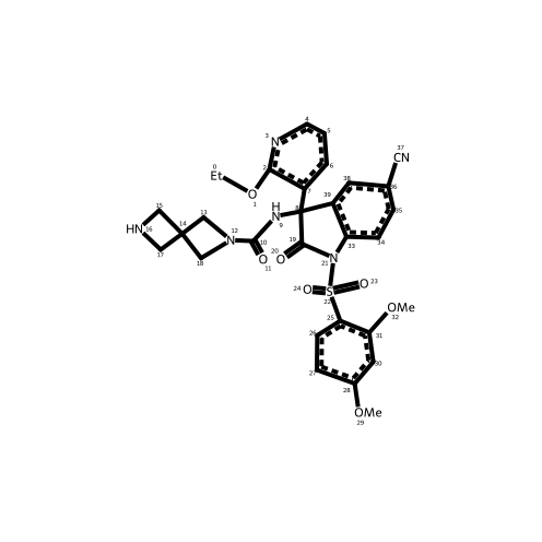 CCOc1ncccc1C1(NC(=O)N2CC3(CNC3)C2)C(=O)N(S(=O)(=O)c2ccc(OC)cc2OC)c2ccc(C#N)cc21